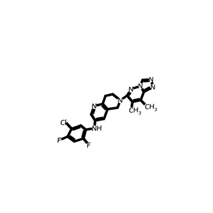 Cc1c(N2CCc3ncc(Nc4cc(Cl)c(F)cc4F)cc3C2)nn2cnnc2c1C